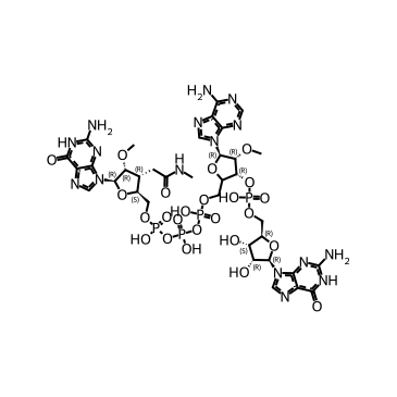 CNC(=O)C[C@H]1[C@@H](OC)[C@H](n2cnc3c(=O)[nH]c(N)nc32)O[C@@H]1COP(=O)(O)OP(=O)(O)OP(=O)(O)OCC1O[C@@H](n2cnc3c(N)ncnc32)[C@H](OC)[C@@H]1OP(=O)(O)OC[C@H]1O[C@@H](n2cnc3c(=O)[nH]c(N)nc32)[C@H](O)[C@@H]1O